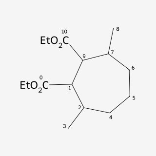 CCOC(=O)C1C(C)CCCC(C)C1C(=O)OCC